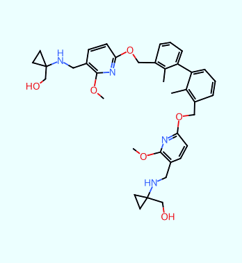 COc1nc(OCc2cccc(-c3cccc(COc4ccc(CNC5(CO)CC5)c(OC)n4)c3C)c2C)ccc1CNC1(CO)CC1